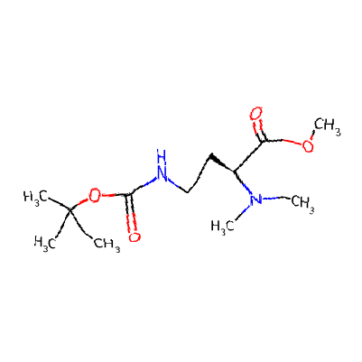 COC(=O)[C@H](CCNC(=O)OC(C)(C)C)N(C)C